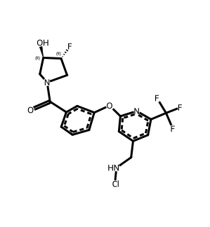 O=C(c1cccc(Oc2cc(CNCl)cc(C(F)(F)F)n2)c1)N1C[C@@H](O)[C@H](F)C1